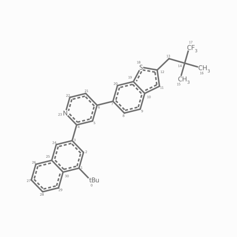 CC(C)(C)c1cc(-c2cc(-c3ccc4cc(CC(C)(C)C(F)(F)F)sc4c3)ccn2)cc2ccccc12